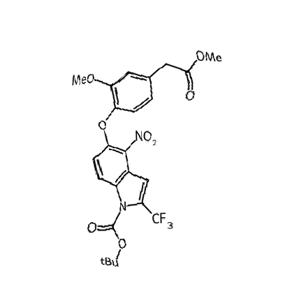 COC(=O)Cc1ccc(Oc2ccc3c(cc(C(F)(F)F)n3C(=O)OC(C)(C)C)c2[N+](=O)[O-])c(OC)c1